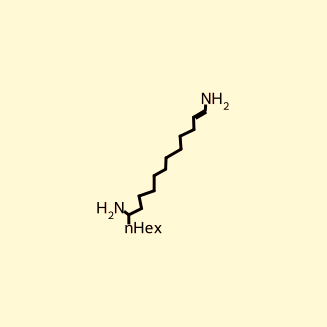 CCCCCCC(N)CCCCCCCCCC=CN